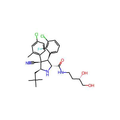 Cc1cc(Cl)ccc1[C@@]1(C#N)[C@H](CC(C)(C)C)N[C@@H](C(=O)NCC[C@H](O)CO)[C@@H]1c1cccc(Cl)c1F